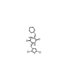 O=c1[nH]/c(=C\c2cc(Cl)sc2Cl)c(=O)[nH]/c1=C\c1ccccc1